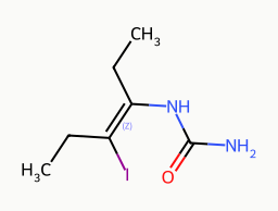 CC/C(I)=C(\CC)NC(N)=O